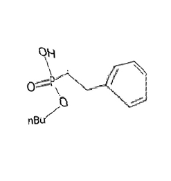 CCCCOP(=O)(O)[CH]Cc1ccccc1